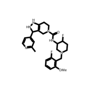 COc1cccc(F)c1CN1CCC(F)C(NC(=O)N2CCC3=C(C2)C(c2ccnc(C)c2)NN3)C1